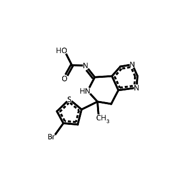 CC1(c2cc(Br)cs2)Cc2ncncc2/C(=N/C(=O)O)N1